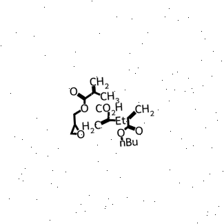 C=C(C)C(=O)OCC1CO1.C=C(CC)C(=O)O.C=CC(=O)OCCCC